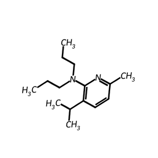 CCCN(CCC)c1nc(C)ccc1C(C)C